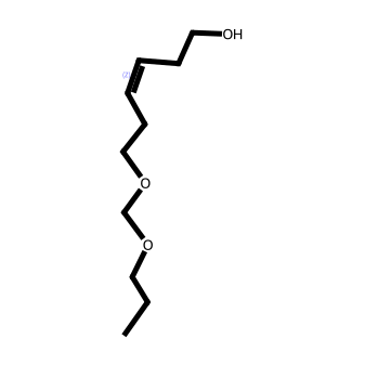 CCCOCOCC/C=C\CCO